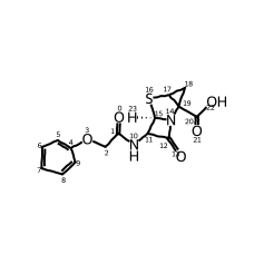 O=C(COc1ccccc1)NC1C(=O)N2[C@@H]1SC1CC12C(=O)O